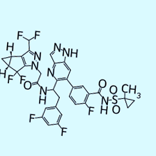 CC1(S(=O)(=O)NC(=O)c2cc(-c3cc4[nH]ncc4nc3C(Cc3cc(F)cc(F)c3)NC(=O)Cn3nc(C(F)F)c4c3C(F)(F)[C@@H]3C[C@H]43)ccc2F)CC1